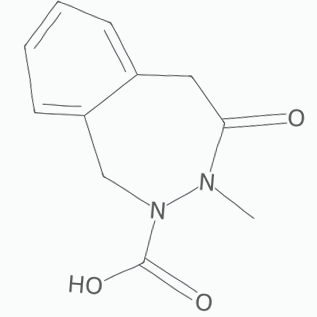 CN1C(=O)Cc2ccccc2CN1C(=O)O